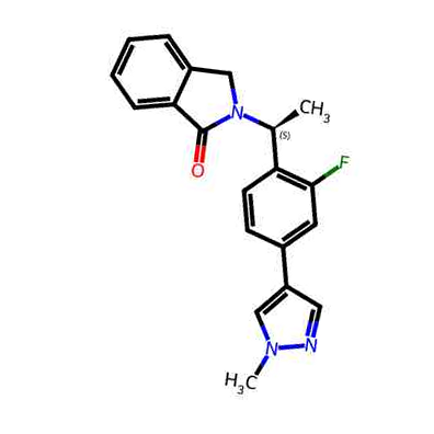 C[C@@H](c1ccc(-c2cnn(C)c2)cc1F)N1Cc2ccccc2C1=O